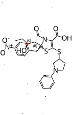 CC[C@H](O)[C@@H]1C(=O)N2C(C(=O)O)=C(SC3CCN(c4ccccc4)C3)S[C@]12Cc1ccc([N+](=O)[O-])cc1